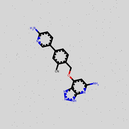 N#Cc1cc(-c2ccc(N)nc2)ccc1COc1cc(N)nc2[nH]nnc12